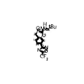 CON(Cc1ccc(-c2noc(C(F)(F)F)n2)cc1)C(=O)NCC(C)(C)C